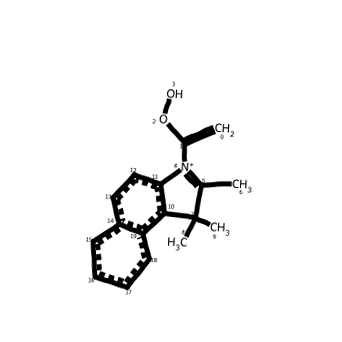 C=C(OO)[N+]1=C(C)C(C)(C)c2c1ccc1ccccc21